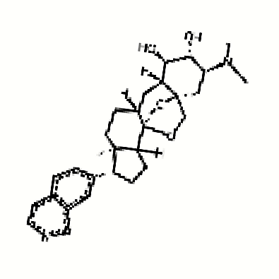 CN(C)[C@H]1C[C@@]23CC[C@@]4(OC2)[C@H](CC[C@]2(C)[C@@H](c5ccc6ccncc6c5)CC[C@H]24)C[C@@H]3[C@@H](O)[C@@H]1O